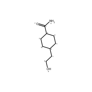 NC(=O)C1CCC(CCO)CC1